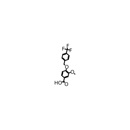 COc1cc(C(=O)O)ccc1OCc1ccc(C(F)(F)F)cc1